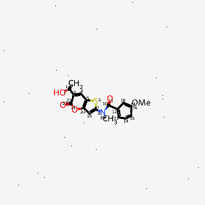 C=C(O)c1cc2sc(N(C)C(=O)c3cccc(OC)c3)cc2oc1=O